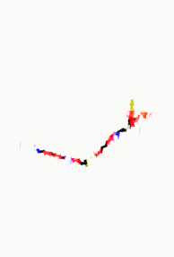 CSSCOC1C[C@H](BC#CCNC(=O)OCCCCOCSSC(C)(C)CCOC(=O)NCCOCCOCCN)O[C@@H]1CO[PH](=O)O